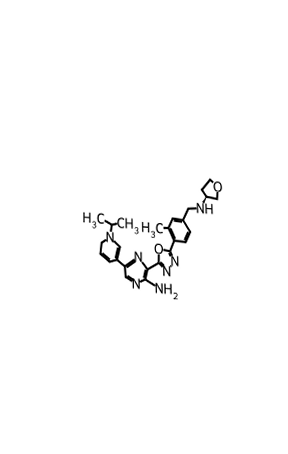 Cc1cc(CN[C@H]2CCOC2)ccc1-c1nnc(-c2nc(C3=CN(C(C)C)CC=C3)cnc2N)o1